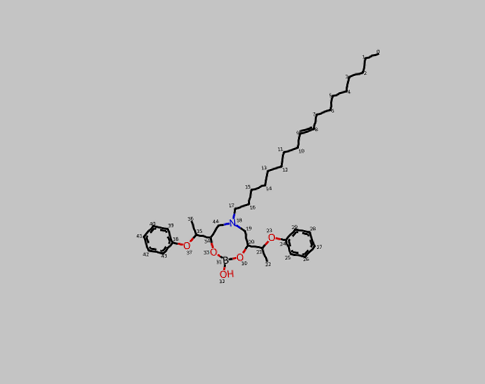 CCCCCCCCC=CCCCCCCCCN1CC(C(C)Oc2ccccc2)OB(O)OC(C(C)Oc2ccccc2)C1